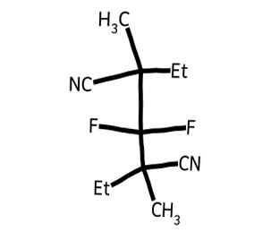 CCC(C)(C#N)C(F)(F)C(C)(C#N)CC